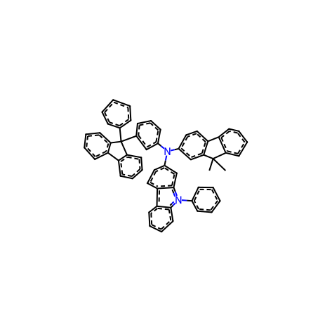 CC1(C)c2ccccc2-c2ccc(N(c3cccc(C4(c5ccccc5)c5ccccc5-c5ccccc54)c3)c3ccc4c5ccccc5n(-c5ccccc5)c4c3)cc21